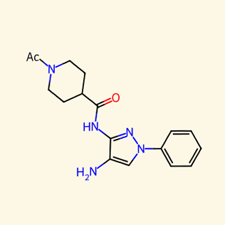 CC(=O)N1CCC(C(=O)Nc2nn(-c3ccccc3)cc2N)CC1